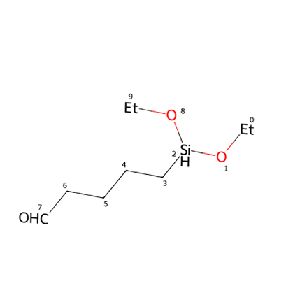 CCO[SiH](CCCCC=O)OCC